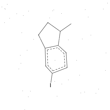 CC1CCc2cc(I)ccc21